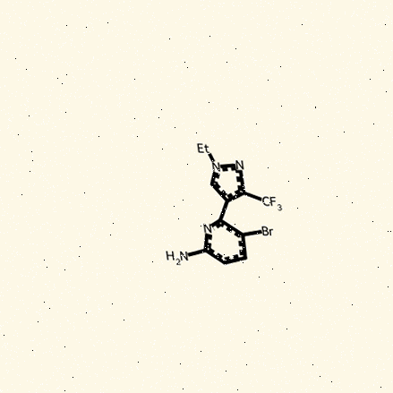 CCn1cc(-c2nc(N)ccc2Br)c(C(F)(F)F)n1